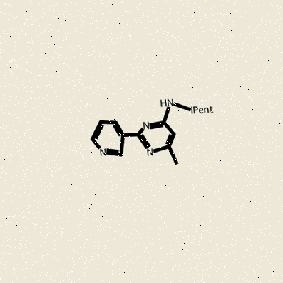 CCCC(C)Nc1cc(C)nc(-c2cccnc2)n1